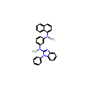 CN(c1cccc(N(C)c2nc3ccccc3n2-c2ccccc2)c1)c1cccc2ccccc12